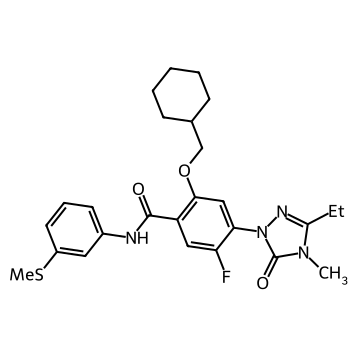 CCc1nn(-c2cc(OCC3CCCCC3)c(C(=O)Nc3cccc(SC)c3)cc2F)c(=O)n1C